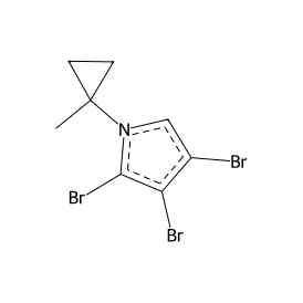 CC1(n2cc(Br)c(Br)c2Br)CC1